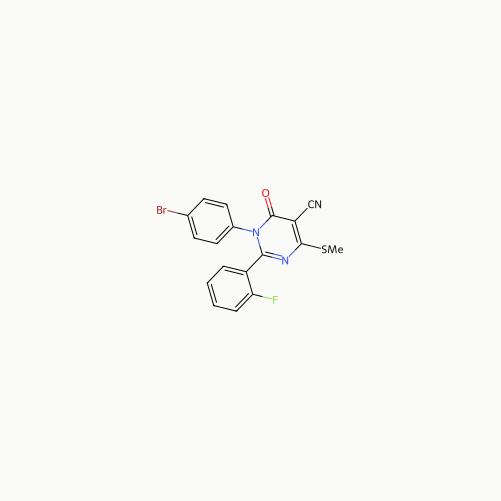 CSc1nc(-c2ccccc2F)n(-c2ccc(Br)cc2)c(=O)c1C#N